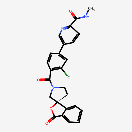 CNC(=O)c1ccc(-c2ccc(C(=O)N3CC[C@@]4(C3)OC(=O)c3ccccc34)c(Cl)c2)cn1